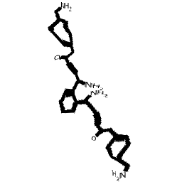 NCc1ccc(CC(=O)C#CC(N)c2ccccc2C(N)C#CC(=O)Cc2ccc(CN)cc2)cc1